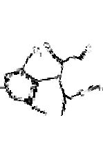 COC(C)N(C(=O)CCl)c1c(C)cccc1C(F)(F)F